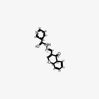 O=C(N/N=C/C1=COC2C=CC=CC2C1=O)c1cccnc1